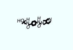 CC(C)(O)CNC(=O)c1ccc(NC(=O)N2Cc3ccncc3C2)cc1